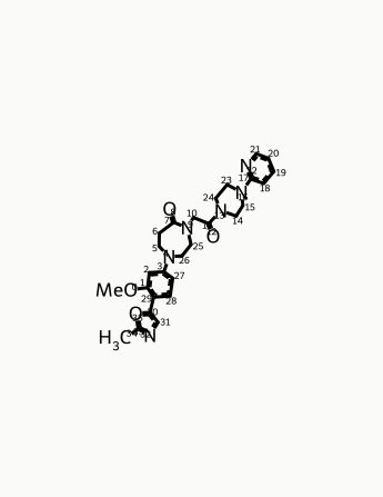 COc1cc(N2CCC(=O)N(CC(=O)N3CCN(c4ccccn4)CC3)CC2)ccc1-c1cnc(C)o1